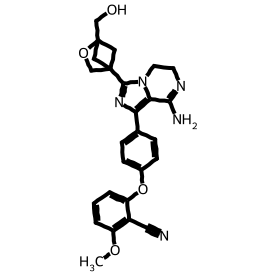 COc1cccc(Oc2ccc(-c3nc(C45COC(CO)(C4)C5)n4c3C(N)=NCC4)cc2)c1C#N